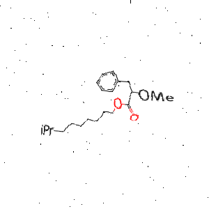 COC(Cc1ccccc1)C(=O)OCCCCCCCC(C)C